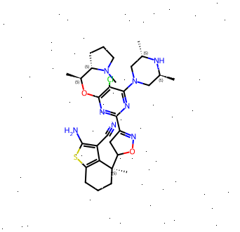 C[C@H](Oc1nc(C2=NOC([C@@]3(C)CCCc4sc(N)c(C#N)c43)C2)nc(N2C[C@H](C)N[C@@H](C)C2)c1Cl)[C@@H]1CCCN1C